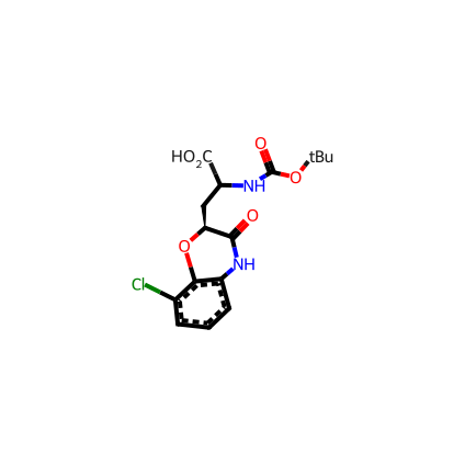 CC(C)(C)OC(=O)NC(C[C@@H]1Oc2c(Cl)cccc2NC1=O)C(=O)O